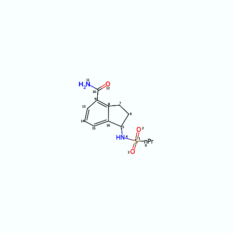 CCCS(=O)(=O)NC1CCc2c(C(N)=O)cccc21